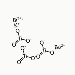 [Ba+2].[Bi+3].[K+].[O]=[Ti]([O-])[O-].[O]=[Ti]([O-])[O-].[O]=[Ti]([O-])[O-]